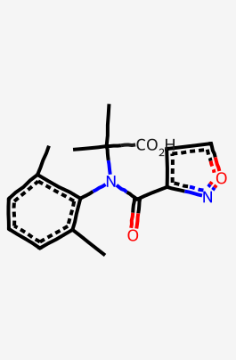 Cc1cccc(C)c1N(C(=O)c1ccon1)C(C)(C)C(=O)O